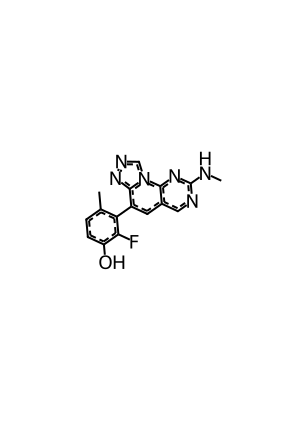 CNc1ncc2cc(-c3c(C)ccc(O)c3F)c3nncn3c2n1